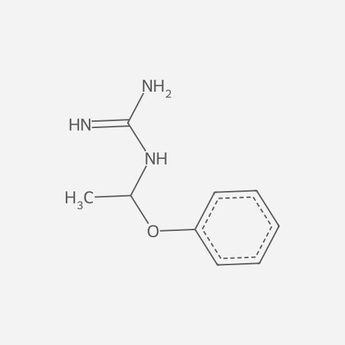 CC(NC(=N)N)Oc1ccccc1